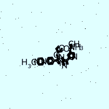 CNC(=O)c1cncc(-c2cnn3cc(-c4ccc(N5CCN(C)CC5)cc4)c(O[C@H]4CCOC4)nc23)c1